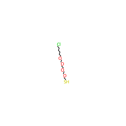 SCCOCCOCCOCCOCCCCCCCl